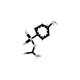 CCCCC(F)OS(=O)(=O)c1ccc(C)cc1